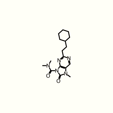 CN(C)C(=O)n1c(=O)n(C)c2cnc(CCC3CCCCC3)nc21